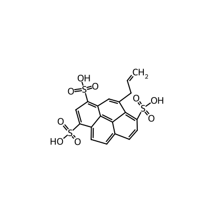 C=CCc1cc2c(S(=O)(=O)O)cc(S(=O)(=O)O)c3ccc4ccc(S(=O)(=O)O)c1c4c32